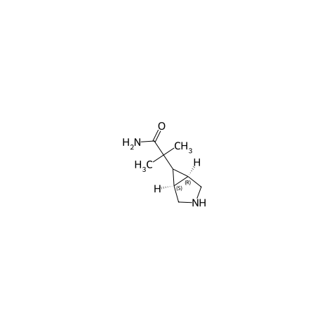 CC(C)(C(N)=O)C1[C@H]2CNC[C@@H]12